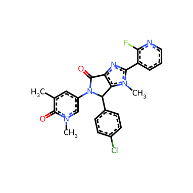 Cc1cc(N2C(=O)c3nc(-c4cccnc4F)n(C)c3C2c2ccc(Cl)cc2)cn(C)c1=O